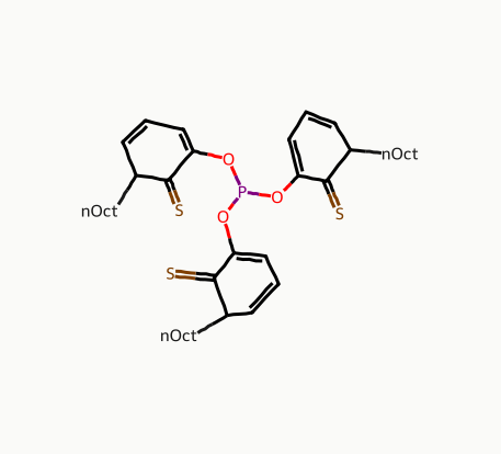 CCCCCCCCC1C=CC=C(OP(OC2=CC=CC(CCCCCCCC)C2=S)OC2=CC=CC(CCCCCCCC)C2=S)C1=S